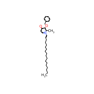 CCCCCCCCCCCCCCCCC=Cn1ccc(=O)c(OCc2ccccc2)c1C